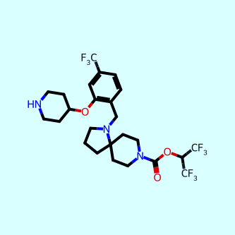 O=C(OC(C(F)(F)F)C(F)(F)F)N1CCC2(CCCN2Cc2ccc(C(F)(F)F)cc2OC2CCNCC2)CC1